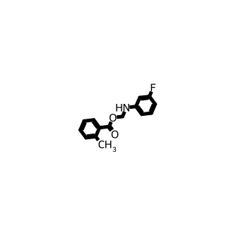 Cc1ccccc1C(=O)OCNc1cccc(F)c1